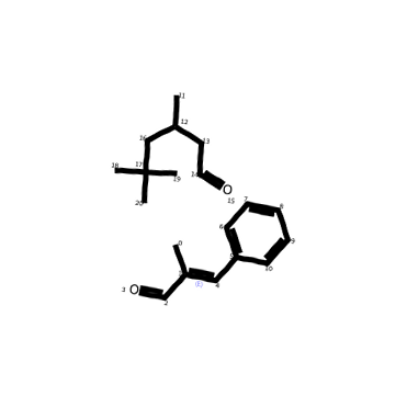 C/C(C=O)=C\c1ccccc1.CC(CC=O)CC(C)(C)C